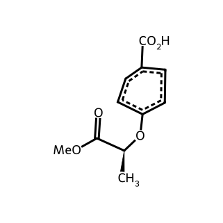 COC(=O)[C@H](C)Oc1ccc(C(=O)O)cc1